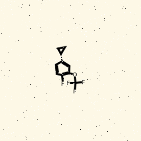 Fc1ccc([C@@H]2[CH]C2)cc1OC(F)(F)F